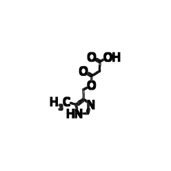 Cc1[nH]cnc1COC(=O)CC(=O)O